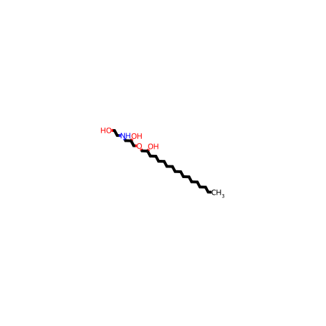 CCCCCCCCCCCCCCCCC(O)COCC(O)CNCCO